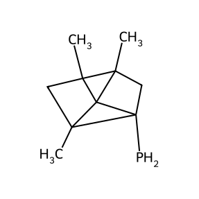 CC12CC3(C)C4(P)CC1(C)C234